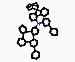 c1ccc(-c2cccc(N(c3ccc4c(c3)-c3ccccc3-c3ccccc3-c3cc(-c5ccccc5)ccc3-4)c3cccc4c3-c3ccccc3C43C4CC5CC(C4)C3C5)c2)cc1